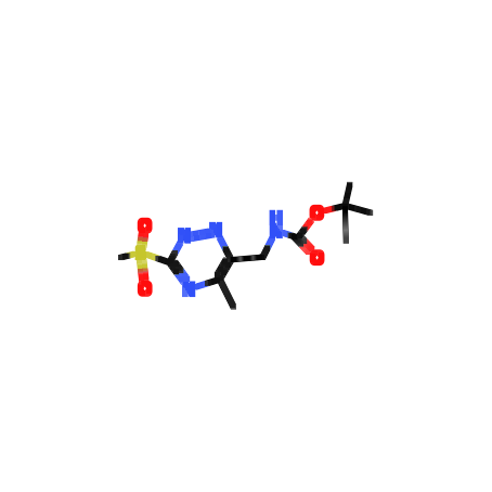 Cc1nc(S(C)(=O)=O)nnc1CNC(=O)OC(C)(C)C